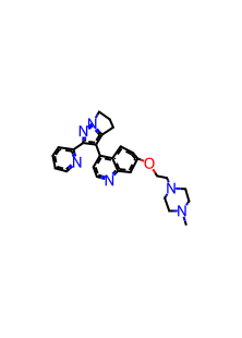 CN1CCN(CCOc2ccc3c(-c4c(-c5ccccn5)nn5c4CCC5)ccnc3c2)CC1